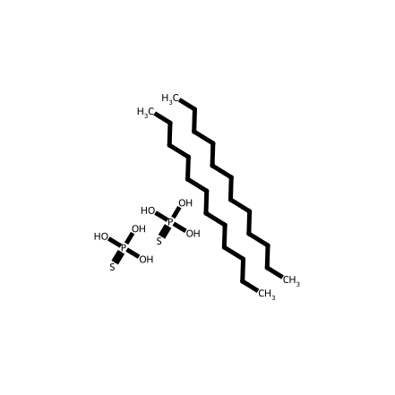 CCCCCCCCCCCC.CCCCCCCCCCCC.OP(O)(O)=S.OP(O)(O)=S